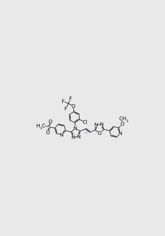 COc1cc(-c2nnc(/C=C/c3nnc(-c4ccc(S(C)(=O)=O)cn4)n3-c3ccc(OC(F)(F)F)cc3Cl)o2)ccn1